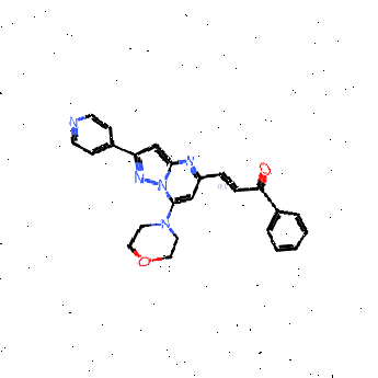 O=C(/C=C/c1cc(N2CCOCC2)n2nc(-c3ccncc3)cc2n1)c1ccccc1